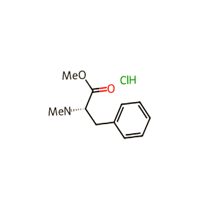 CN[C@@H](Cc1ccccc1)C(=O)OC.Cl